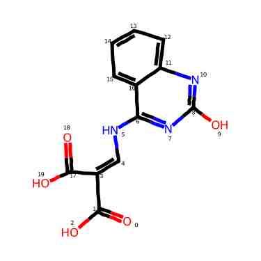 O=C(O)C(=CNc1nc(O)nc2ccccc12)C(=O)O